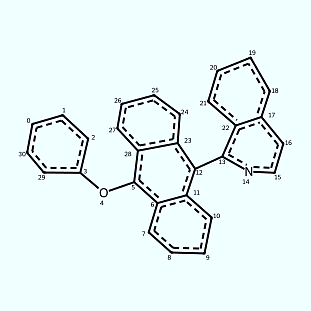 c1ccc(Oc2c3ccccc3c(-c3nccc4ccccc34)c3ccccc23)cc1